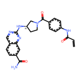 C=CC(=O)Nc1ccc(C(=O)N2CC[C@@H](Nc3ncc4ccc(C(N)=O)cc4n3)C2)cc1